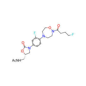 CC(=O)NC[C@H]1CN(c2ccc(N3CCON(C(=O)CCCF)CC3)c(F)c2)C(=O)O1